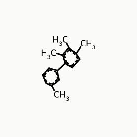 Cc1cccc(-c2ccc(C)c(C)c2C)c1